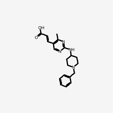 Cc1nc(NC2CCN(Cc3ccccc3)CC2)ncc1C=CC(=O)O